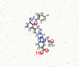 Cc1ccc(C2C=Nc3cccc(C4CCN(Cc5nc6ccc(C(=O)O)cc6n5CC5CCO5)CC4)c3O2)c(F)c1